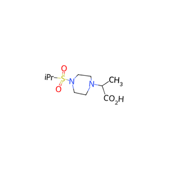 CC(C(=O)O)N1CCN(S(=O)(=O)C(C)C)CC1